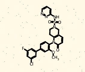 COc1cc(-c2cc(F)cc(Cl)c2)ccc1-n1c2c(ccc1=O)CN(S(=O)(=O)Nc1cccnn1)CC2